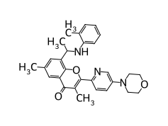 Cc1cc(C(C)Nc2ccccc2C)c2oc(-c3ccc(N4CCOCC4)cn3)c(C)c(=O)c2c1